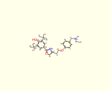 CCN(C)Cc1ccc(OCCc2coc(-c3cc(C(C)(C)C)c(O)c(C(C)(C)C)c3)n2)cc1